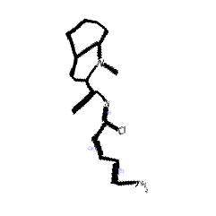 C=C(\N=C(Cl)/C=C\C=C\N)C1CC2CCCC2N1C